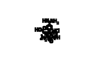 CC(C)C[C@@H](NCC(=O)O)C(=O)[N+]1(Cc2ccc(C(=N)N)cc2)CCC[C@@H]2C[C@@]21C(N)=O.Cl